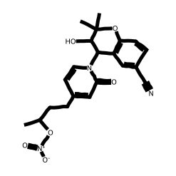 CC(CCc1ccn(C2c3cc(C#N)ccc3OC(C)(C)C2O)c(=O)c1)O[N+](=O)[O-]